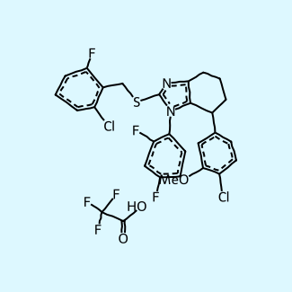 COc1cc(C2CCCc3nc(SCc4c(F)cccc4Cl)n(-c4ccc(F)cc4F)c32)ccc1Cl.O=C(O)C(F)(F)F